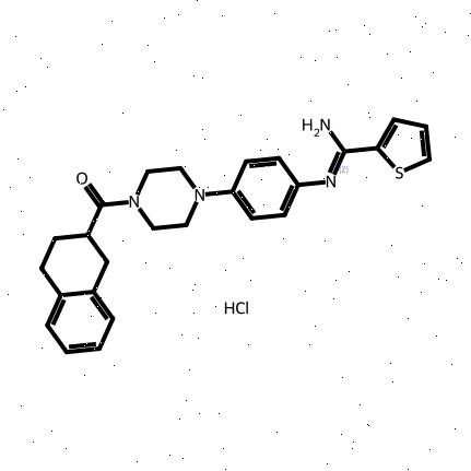 Cl.N/C(=N\c1ccc(N2CCN(C(=O)C3CCc4ccccc4C3)CC2)cc1)c1cccs1